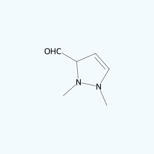 CN1C=CC(C=O)N1C